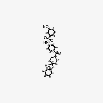 N#Cc1cccc(S(=O)(=O)Nc2ccc(C(=O)N3CCC(O)(Cc4ccccc4)CC3)cc2)c1